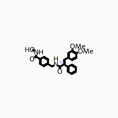 COc1ccc(/C=C(/C(=O)NCc2ccc(C(=O)NO)cc2)c2ccccc2)cc1OC